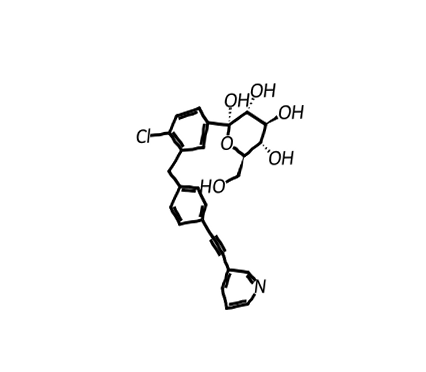 OC[C@H]1O[C@@](O)(c2ccc(Cl)c(Cc3ccc(C#Cc4cccnc4)cc3)c2)[C@H](O)[C@@H](O)[C@@H]1O